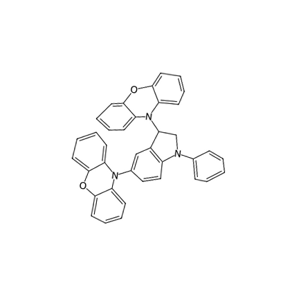 c1ccc(N2CC(N3c4ccccc4Oc4ccccc43)c3cc(N4c5ccccc5Oc5ccccc54)ccc32)cc1